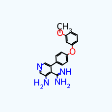 COc1cccc(Oc2ccc(-c3cncc(N)c3C(=N)N)cc2)c1